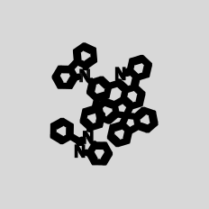 c1ccc(-c2nc3ccccc3n2-c2ccc(-c3cc(-c4nc5ccccc5c5ccc6c(c45)-c4ccccc4C64c5ccccc5-c5ccccc54)cc(-n4c5ccccc5c5ccccc54)c3)cc2)cc1